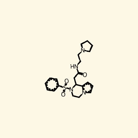 O=C(CC1c2cccn2CCN1S(=O)(=O)c1ccccc1)NCCN1CCCC1